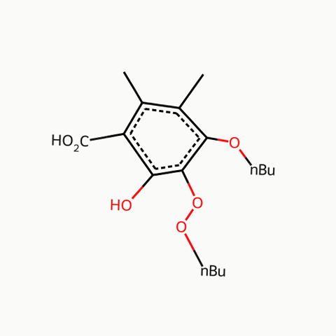 CCCCOOc1c(O)c(C(=O)O)c(C)c(C)c1OCCCC